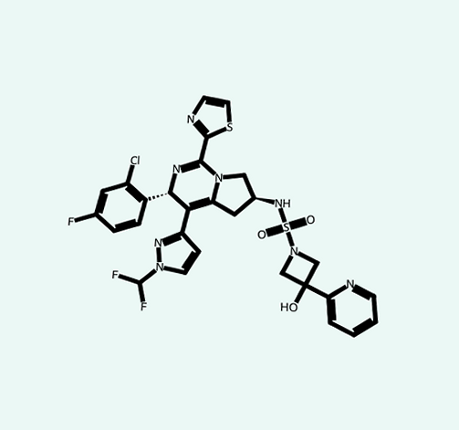 O=S(=O)(N[C@H]1CC2=C(c3ccn(C(F)F)n3)[C@H](c3ccc(F)cc3Cl)N=C(c3nccs3)N2C1)N1CC(O)(c2ccccn2)C1